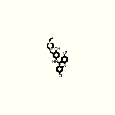 CCN1CCN(Cc2cc(Nc3c4ccc(Cl)cc4nc4ccc(OC)cc34)ccc2O)CC1